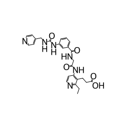 CCc1nccc(NC(=O)CNC(=O)c2cccc(NC(=O)NCc3ccncc3)c2)c1CCC(=O)O